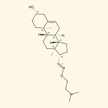 CN(C)CCO/N=C/[C@H]1CC[C@H]2[C@@H]3CC=C4C[C@@H](O)CC[C@]4(C)[C@H]3CC[C@]12C